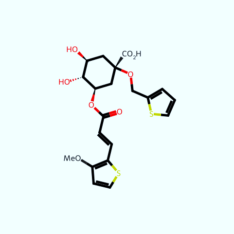 COc1ccsc1/C=C/C(=O)O[C@@H]1C[C@](OCc2cccs2)(C(=O)O)C[C@H](O)[C@H]1O